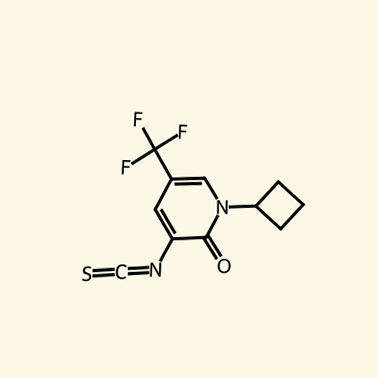 O=c1c(N=C=S)cc(C(F)(F)F)cn1C1CCC1